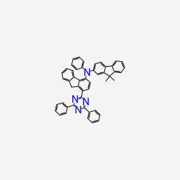 CC1(C)c2ccccc2-c2ccc(N(c3ccccc3)c3ccc(-c4nc(-c5ccccc5)nc(-c5ccccc5)n4)c4c3-c3ccccc3C4)cc21